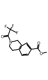 COC(=O)c1ccc2c(c1)CN(C(=O)C(F)(F)F)CC2